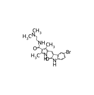 Cc1[nH]c(C=C2C(=O)Nc3ccc(Br)cc32)c(C)c1C(=O)NCCN(C)C